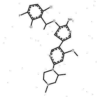 COc1cc(N2CCN(C)CC2C)ncc1-c1cnc(N)c(OC(C)c2c(Cl)ccc(F)c2Cl)c1